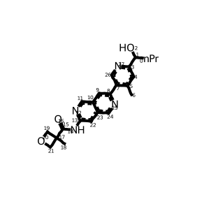 CCCC(O)c1cc(C)c(-c2cc3cnc(NC(=O)C4(C)COC4)cc3cn2)cn1